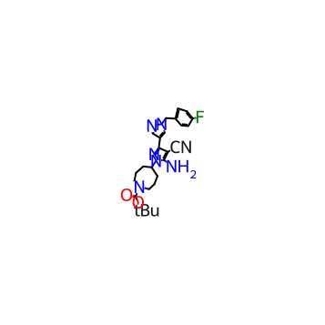 CC(C)(C)OC(=O)N1CCCC(n2nc(-c3cnn(Cc4ccc(F)cc4)c3)c(C#N)c2N)CCC1